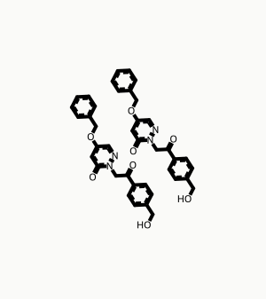 O=C(Cn1ncc(OCc2ccccc2)cc1=O)c1ccc(CO)cc1.O=C(Cn1ncc(OCc2ccccc2)cc1=O)c1ccc(CO)cc1